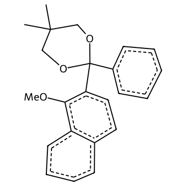 COc1c(C2(c3ccccc3)OCC(C)(C)CO2)ccc2ccccc12